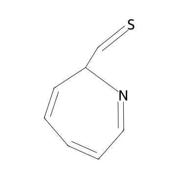 S=CC1C=CC=CC=N1